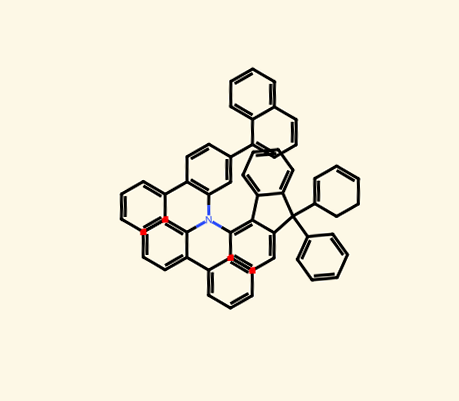 C1=CCCC(C2(c3ccccc3)c3ccccc3-c3c(N(c4ccccc4-c4ccccc4)c4cc(-c5cccc6ccccc56)ccc4-c4ccccc4)cccc32)=C1